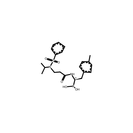 Cc1ccc(C[C@H](NC(=O)CCN(C(C)C)S(=O)(=O)c2ccccc2)B(O)O)cc1